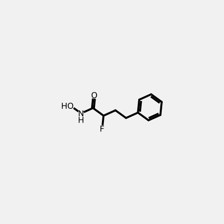 O=C(NO)C(F)CCc1ccccc1